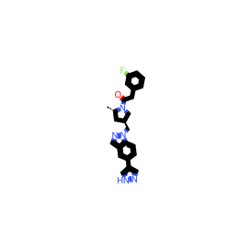 C[C@H]1C[C@H](Cn2ncc3cc(-c4cn[nH]c4)ccc32)CN1C(=O)Cc1cccc(F)c1